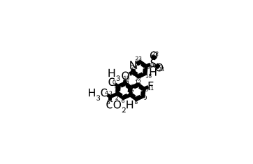 Cc1c(C(C)C(=O)O)cc2ccc(F)cc2c1Oc1ccc([SH](=O)=O)cn1